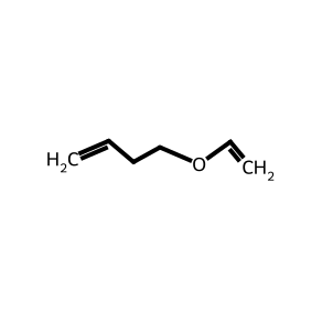 C=CCCOC=C